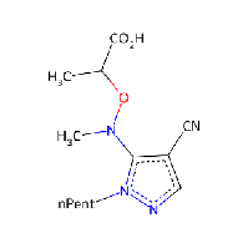 CCCCCn1ncc(C#N)c1N(C)OC(C)C(=O)O